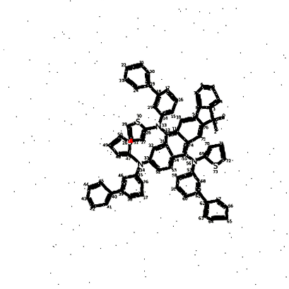 CC1(C)c2ccccc2-c2cc3c(N(c4cccc(-c5ccccc5)c4)c4cccs4)c4cc(N(c5cccc(-c6ccccc6)c5)c5cccs5)ccc4c(N(c4cccc(-c5ccccc5)c4)c4cccs4)c3cc21